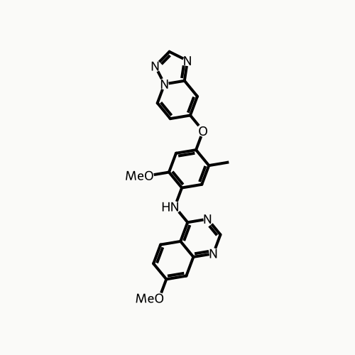 COc1ccc2c(Nc3cc(C)c(Oc4ccn5ncnc5c4)cc3OC)ncnc2c1